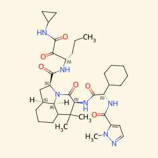 CCC[C@H](NC(=O)[C@@H]1C[C@@H]2CCCC3[C@@H]2N1C(=O)[C@@H](NC(=O)[C@@H](NC(=O)c1ccnn1C)C1CCCCC1)C3(C)C)C(=O)C(=O)NC1CC1